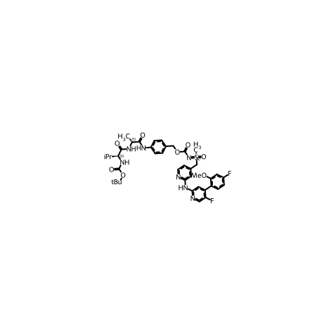 COc1cc(F)ccc1-c1cc(Nc2cc(C[S@](C)(=O)=NC(=O)OCc3ccc(NC(=O)[C@H](C)NC(=O)[C@@H](NC(=O)OC(C)(C)C)C(C)C)cc3)ccn2)ncc1F